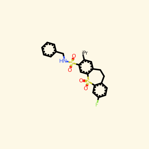 CC(C)c1cc2c(cc1S(=O)(=O)NCc1ccccc1)S(=O)(=O)c1cc(F)ccc1CC2